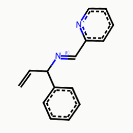 C=CC(/N=C/c1ccccn1)c1ccccc1